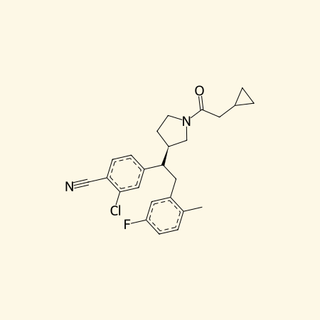 Cc1ccc(F)cc1CC(c1ccc(C#N)c(Cl)c1)[C@H]1CCN(C(=O)CC2CC2)C1